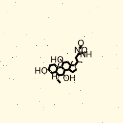 CC[C@H]1[C@@H](O)C2C3CC[C@H]([C@H](C)Cc4nc(=O)o[nH]4)[C@@]3(C)C[C@H](O)C2[C@@]2(C)CC[C@@H](O)C[C@@H]12